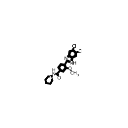 COc1cc(C(=O)NN2CCCCC2)ccc1-c1nc2cc(Cl)c(Cl)cc2[nH]1